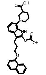 O=C(O)Oc1[nH]c2c(N3CCCC(C(=O)O)C3)cccc2c1CCCOc1cccc2ccccc12